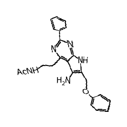 CC(=O)NCCc1nc(-c2ccccc2)nc2[nH]c(COc3ccccc3)c(N)c12